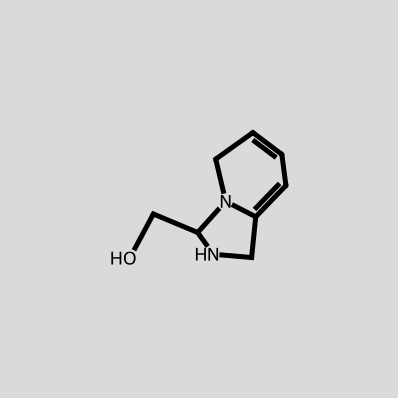 OCC1NCC2=CC=CCN21